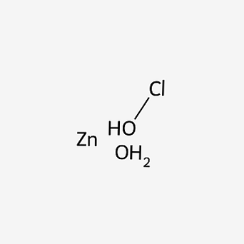 O.OCl.[Zn]